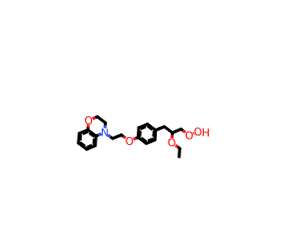 CCOC(COO)Cc1ccc(OCCN2CCOc3ccccc32)cc1